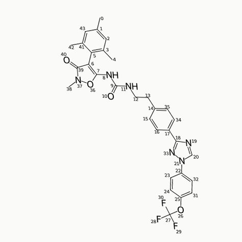 Cc1cc(C)c(-c2c(NC(=O)NCCc3ccc(-c4ncn(-c5ccc(OC(F)(F)F)cc5)n4)cc3)on(C)c2=O)c(C)c1